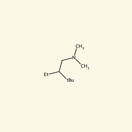 CCC(CN(C)C)C(C)(C)C